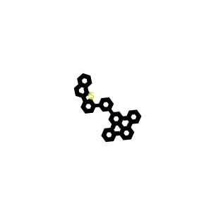 c1cc(-c2cc3c4ccccc4c4cccc5c6ccccc6c(c2)c3c45)cc(-c2cccc3c2sc2c4ccccc4ccc32)c1